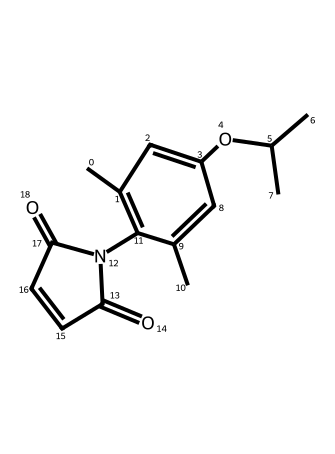 Cc1cc(OC(C)C)cc(C)c1N1C(=O)C=CC1=O